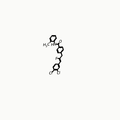 Cc1ccccc1NC(=O)c1ccc(CC(F)=Cc2ccc(Cl)c(Cl)c2)cc1